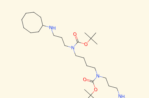 CC(C)(C)OC(=O)N(CCCN)CCCCN(CCCNC1CCCCCCC1)C(=O)OC(C)(C)C